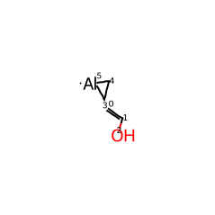 C=CO.[CH2]1[CH2][Al]1